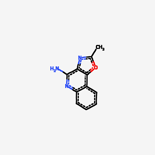 Cc1nc2c(N)nc3ccccc3c2o1